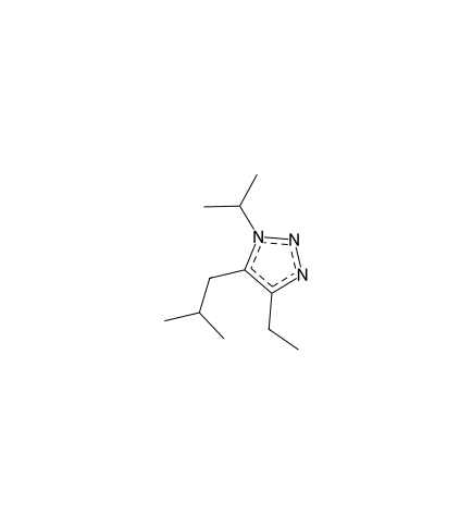 CCc1nnn(C(C)C)c1CC(C)C